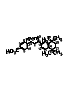 CCCCCC(CCc1ccc(C(=O)O)cc1)c1ccc2c(c1)C(C)(C)CCC2(C)C